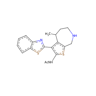 CC(=O)Nc1sc2c(c1-c1nc3ccccc3s1)C(C)CCNC2